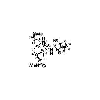 CNC(=O)c1ccc2c(c1)CCc1cc(C(=O)NC)ccc1C2(CCNCC(=O)N1[C@H](C#N)C[C@@H]2C[C@@H]21)C(N)=O